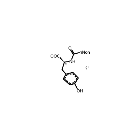 CCCCCCCCCC(=O)N[C@@H](Cc1ccc(O)cc1)C(=O)[O-].[K+]